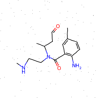 CNCCN(C(=O)c1cc(C)ccc1N)C(C)CC=O